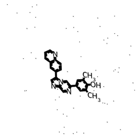 Cc1cc(-c2cn3c(-c4ccc5ncccc5c4)cnc3cn2)cc(C)c1O